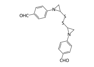 O=Cc1ccc(N2CC2SSC2CN2c2ccc(C=O)cc2)cc1